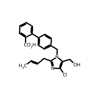 CC=CCc1nc(Cl)c(CO)n1Cc1ccc(-c2ccccc2C(=O)O)cc1